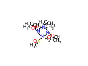 CC(=O)SCCN1CCN(CC(=O)OC(C)(C)C)CCN(CC(C)(C)C)CCN(CC(=O)OC(C)(C)C)CC1